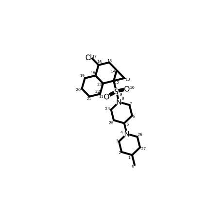 CC1CCN(C2CCN(S(=O)(=O)C34CC3CC(Cl)C3CCCCC34)CC2)CC1